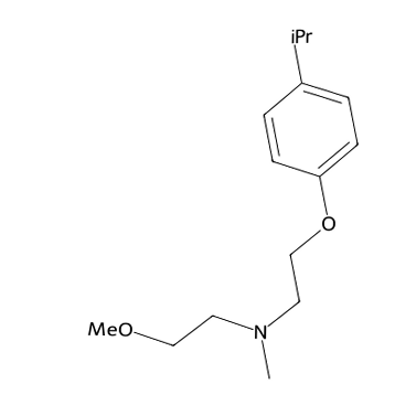 COCCN(C)CCOc1ccc(C(C)C)cc1